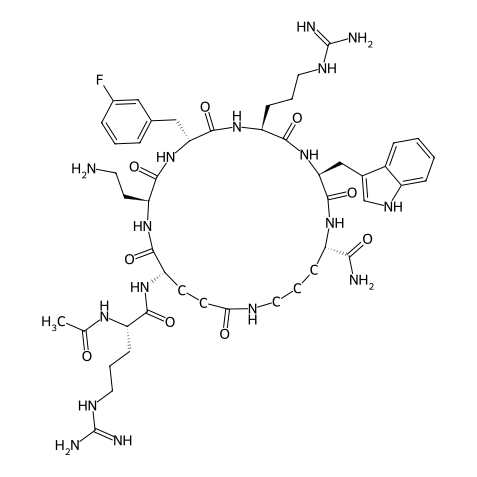 CC(=O)N[C@@H](CCCNC(=N)N)C(=O)N[C@H]1CCC(=O)NCCC[C@@H](C(N)=O)NC(=O)[C@H](Cc2c[nH]c3ccccc23)NC(=O)[C@H](CCCNC(=N)N)NC(=O)[C@@H](Cc2cccc(F)c2)NC(=O)[C@H](CCN)NC1=O